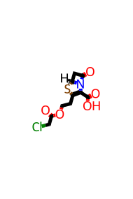 O=C(CCl)OCCC1=C(C(=O)O)N2C(=O)C[C@H]2S1